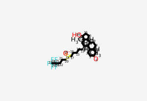 C[C@]12CCC(=O)C[C@@H]1CC[C@@H]1[C@@H]2[C@@H](CCCCC[S+]([O-])CCCC(F)(F)C(F)(F)F)C[C@]2(C)[C@@H](O)CC[C@@H]12